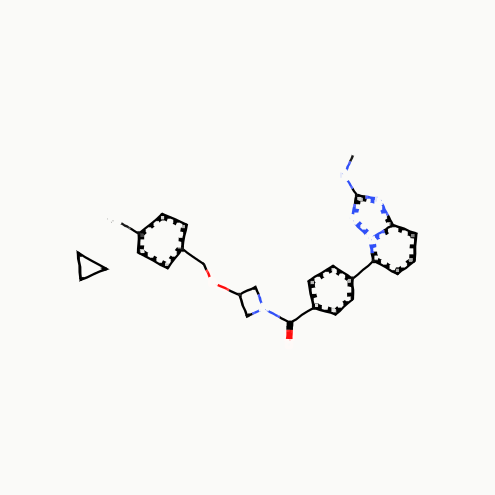 C1CC1.N#Cc1ccc(COC2CN(C(=O)c3ccc(-c4cccc5nc(NC(=O)O)nn45)cc3)C2)cc1